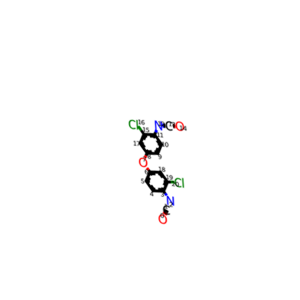 O=C=Nc1ccc(Oc2ccc(N=C=O)c(Cl)c2)cc1Cl